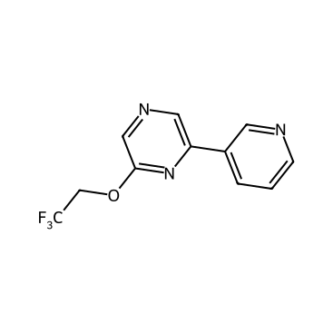 FC(F)(F)COc1cncc(-c2cccnc2)n1